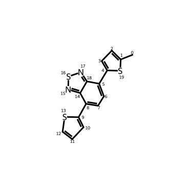 Cc1ccc(-c2ccc(-c3cccs3)c3nsnc23)s1